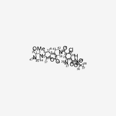 COC[C@H]1CN(c2cc(C)c3c4c(c(=O)oc3c2C)CN(C(=O)c2cc(N(C)C)c(C(=O)NS(=O)(=O)C3(C)CC3)cc2Cl)CC4)CCN1C